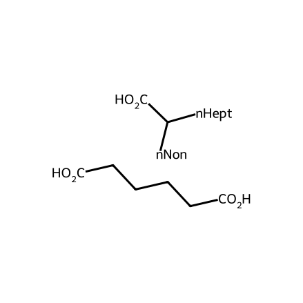 CCCCCCCCCC(CCCCCCC)C(=O)O.O=C(O)CCCCC(=O)O